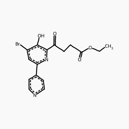 CCOC(=O)CCC(=O)c1nc(-c2ccncc2)cc(Br)c1O